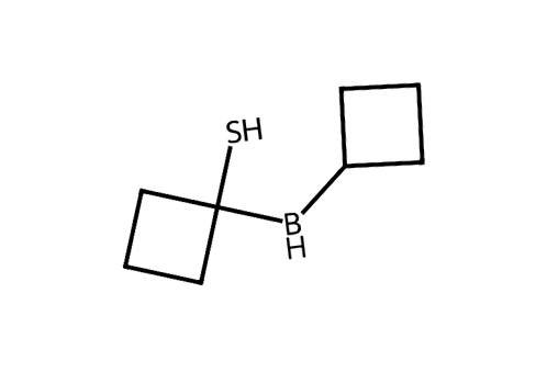 SC1(BC2CCC2)CCC1